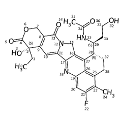 CC[C@@]1(O)C(=O)OCc2c1cc1n(c2=O)Cc2c-1nc1cc(F)c(C)c3c1c2[C@H]([C@H](CCO)NC(C)=O)CC3